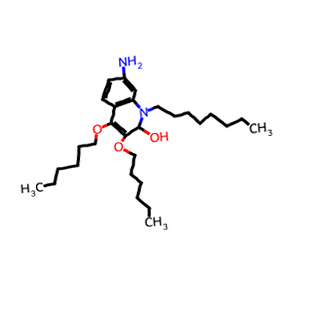 CCCCCCCCN1c2cc(N)ccc2C(OCCCCCC)=C(OCCCCCC)C1O